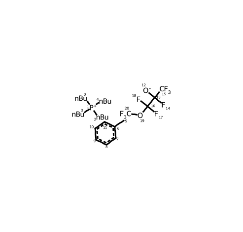 CCCC[P+](CCCC)(CCCC)CCCC.Cc1ccccc1.[O-]C(F)(C(F)(F)F)C(F)(F)OC(F)(F)F